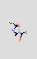 CCC(=O)NC(C)NC(=O)CC